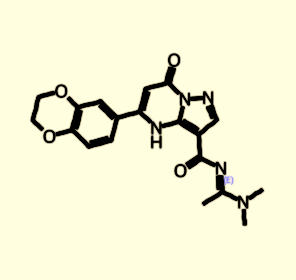 C/C(=N\C(=O)c1cnn2c(=O)cc(-c3ccc4c(c3)OCCO4)[nH]c12)N(C)C